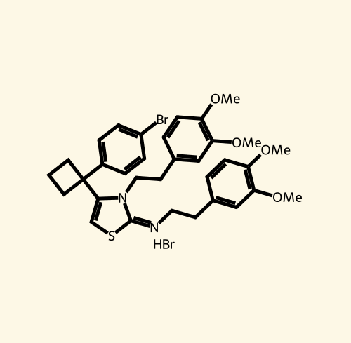 Br.COc1ccc(CCN=c2scc(C3(c4ccc(Br)cc4)CCC3)n2CCc2ccc(OC)c(OC)c2)cc1OC